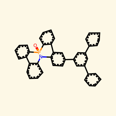 O=P12c3ccccc3-c3ccccc3N1c1ccc(-c3cc(-c4ccccc4)cc(-c4ccccc4)c3)cc1-c1ccccc12